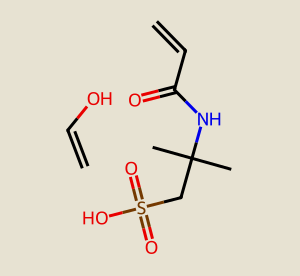 C=CC(=O)NC(C)(C)CS(=O)(=O)O.C=CO